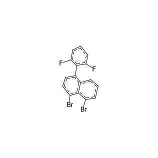 Fc1cccc(F)c1-c1ccc(Br)c2c(Br)cccc12